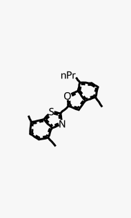 CCCc1ccc(C)c2cc(-c3nc4c(C)ccc(C)c4s3)oc12